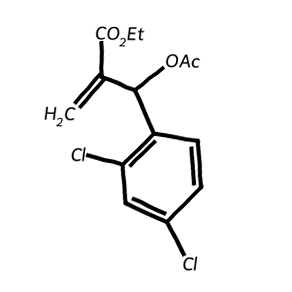 C=C(C(=O)OCC)C(OC(C)=O)c1ccc(Cl)cc1Cl